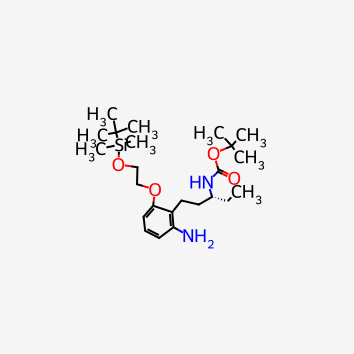 CC[C@H](CCc1c(N)cccc1OCCO[Si](C)(C)C(C)(C)C)NC(=O)OC(C)(C)C